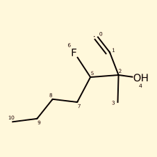 [CH]=CC(C)(O)C(F)CCCC